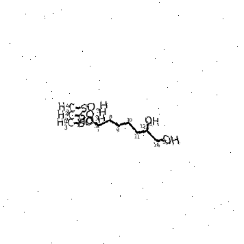 CS(=O)(=O)O.CS(=O)(=O)O.CS(=O)(=O)O.OCCCCCC(O)CO